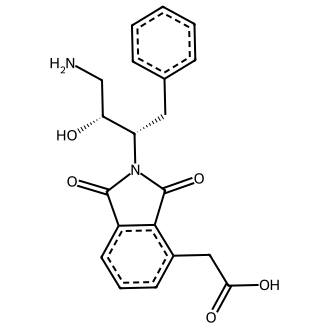 NC[C@@H](O)[C@H](Cc1ccccc1)N1C(=O)c2cccc(CC(=O)O)c2C1=O